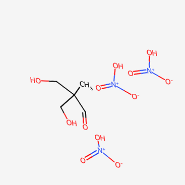 CC(C=O)(CO)CO.O=[N+]([O-])O.O=[N+]([O-])O.O=[N+]([O-])O